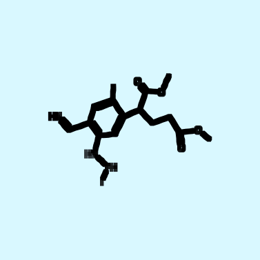 COC(=O)CCC(C(=O)OC)c1cc(NPI)c(C=N)cc1C